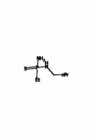 CCCCNP(N)(=S)CC